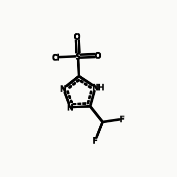 O=S(=O)(Cl)c1nnc(C(F)F)[nH]1